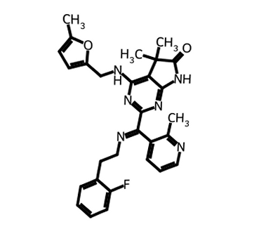 Cc1ccc(CNc2nc(/C(=N/CCc3ccccc3F)c3cccnc3C)nc3c2C(C)(C)C(=O)N3)o1